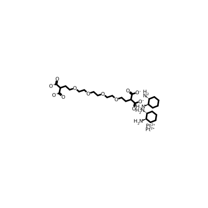 N[C@@H]1CCCC[C@H]1N.N[C@@H]1CCCC[C@H]1N.O=C([O-])C(CCOCCOCCOCCOCCC(C(=O)[O-])C(=O)[O-])C(=O)[O-].[Pt+2].[Pt+2]